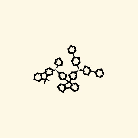 CC1(C)c2ccccc2-c2ccc(N(c3ccccc3)c3ccc(C4(c5ccc(N(c6ccc(-c7ccccc7)cc6)c6ccc(-c7ccccc7)cc6)cc5)c5ccccc5-c5ccccc54)cc3)cc21